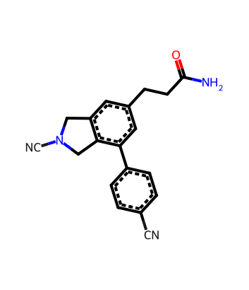 N#Cc1ccc(-c2cc(CCC(N)=O)cc3c2CN(C#N)C3)cc1